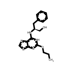 CCCOc1nc2ncnc-2c(N[C@H](CO)Cc2ccccc2)[nH]1